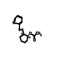 CC(=O)O[C@@H]1CCCC[C@H]1SSc1ccccn1